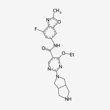 CCOc1nc(N2CC3CNCC3C2)ncc1C(=O)Nc1cc(F)c2nc(C)oc2c1